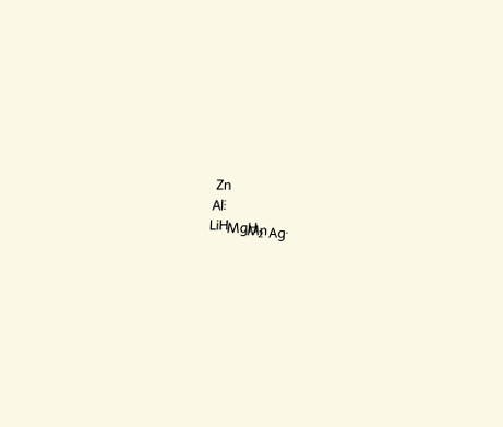 [Ag].[Al].[LiH].[MgH2].[Mn].[Zn]